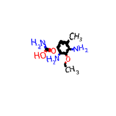 CCOc1c(N)ccc(C)c1N.NC(=O)O